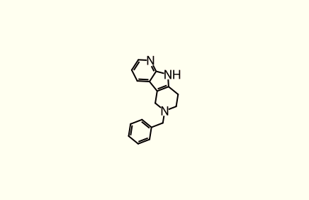 c1ccc(CN2CCc3[nH]c4ncccc4c3C2)cc1